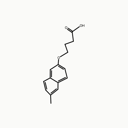 Cc1ccc2cc(OCCCC(=O)O)ccc2c1